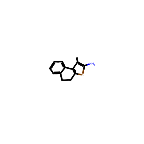 Cc1c(N)sc2c1-c1ccccc1CC2